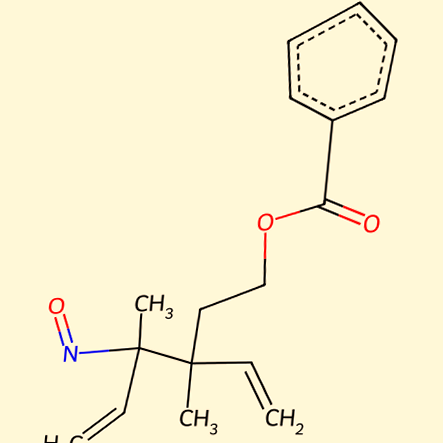 C=CC(C)(CCOC(=O)c1ccccc1)C(C)(C=C)N=O